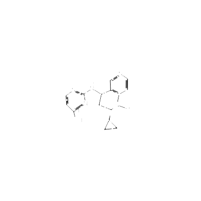 CC(=O)N1c2ccncc2C(Nc2nccc(C)n2)[C@@H](C)[C@@H]1C1CC1